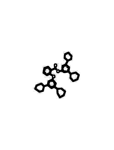 O=C(Oc1cc(C2CCCCC2)cc(C2CCCCC2)c1)c1ccccc1Oc1cc(C2CCCCC2)cc(C2CCCCC2)c1